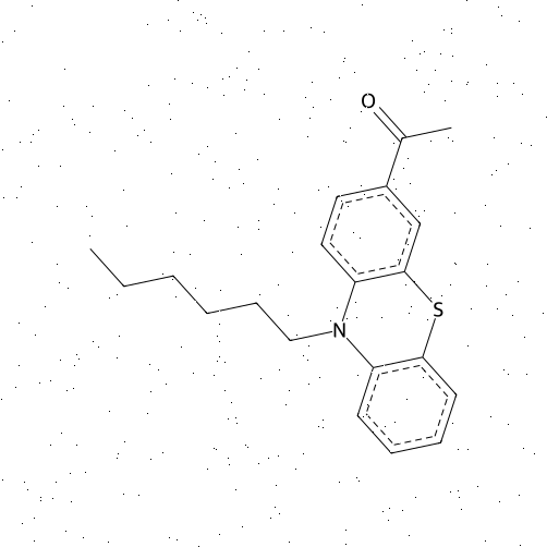 CCCCCCN1c2ccccc2Sc2cc(C(C)=O)ccc21